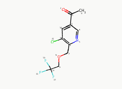 CC(=O)c1cnc(COCC(F)(F)F)c(Cl)c1